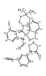 CC1(C)CCC(C(=O)[C@]2(N(C(=O)[C@@H]3CCC(=O)N3c3cc(C#N)ccn3)c3cccc(F)c3)CCc3ccccc32)CC1